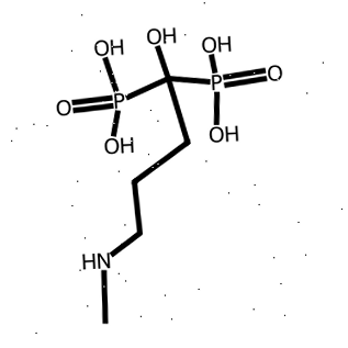 CNCCCC(O)(P(=O)(O)O)P(=O)(O)O